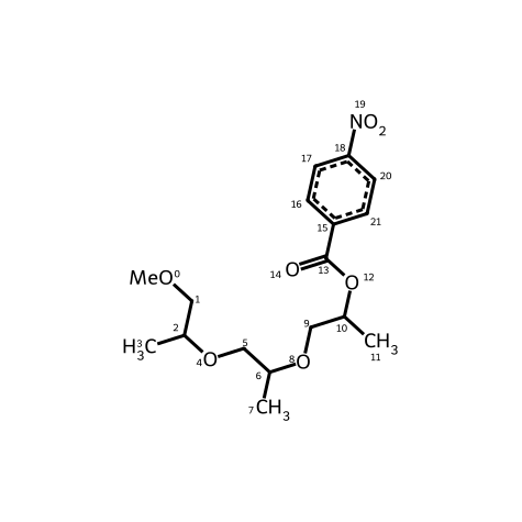 COCC(C)OCC(C)OCC(C)OC(=O)c1ccc([N+](=O)[O-])cc1